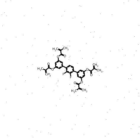 C=C(C)C(=O)Oc1cc(OC(=O)C(=C)C)cc(-c2ccc(-c3cc(OC(=O)C(=C)C)cc(OC(=O)C(=C)C)c3)c(F)c2F)c1